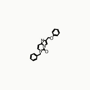 O=c1n(Cc2ccccc2)ccc2nc(COc3ccccc3)cn12